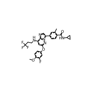 COc1ccc(Oc2cc(NCCC(F)(F)F)c3ncc(-c4ccc(C(=O)NC5CC5)c(C)c4)n3n2)cc1F